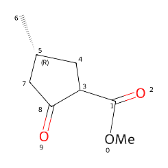 COC(=O)C1C[C@@H](C)CC1=O